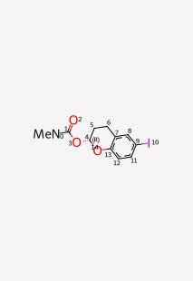 CNC(=O)O[C@@H]1CCc2cc(I)ccc2O1